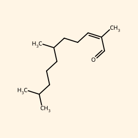 CC(C=O)=CCCC(C)CCCC(C)C